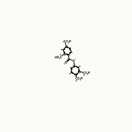 O=C(O)c1ccc(C(=O)Oc2ccc(C(=O)O)c(C(=O)O)c2)c(C(=O)O)c1